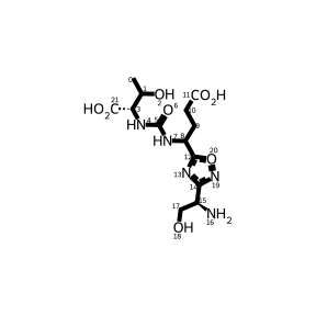 CC(O)[C@H](NC(=O)NC(CCC(=O)O)c1nc([C@@H](N)CO)no1)C(=O)O